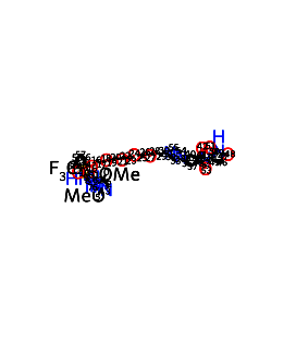 COc1cnc(OC)n2nc(NS(=O)(=O)c3c(OCCOCCOCCOCCOCCCN4CCN(c5ccc6c(c5)C(=O)N(C5CCC(=O)NC5=O)C6=O)CC4)cccc3C(F)(F)F)nc12